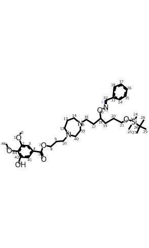 COc1cc(C(=O)OCCCN2CCCN(CCC(CCCO[Si](C)(C)C(C)(C)C)O/N=C/c3ccccc3)CC2)cc(O)c1OC